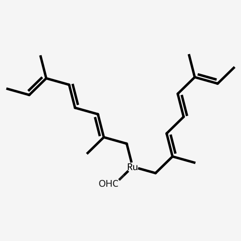 CC=C(C)C=CC=C(C)[CH2][Ru]([CH]=O)[CH2]C(C)=CC=CC(C)=CC